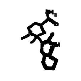 CN1CCC(C(N)=O)CC1(C)c1cc2ccccc2[nH]c1=O